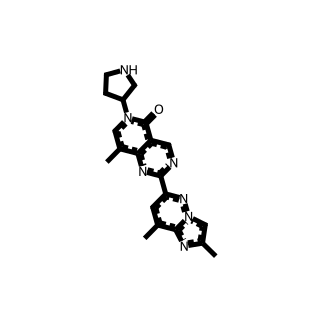 Cc1cn2nc(-c3ncc4c(=O)n(C5CCNC5)cc(C)c4n3)cc(C)c2n1